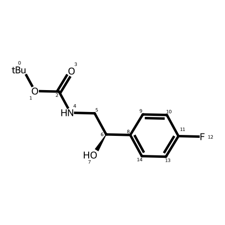 CC(C)(C)OC(=O)NC[C@H](O)c1ccc(F)cc1